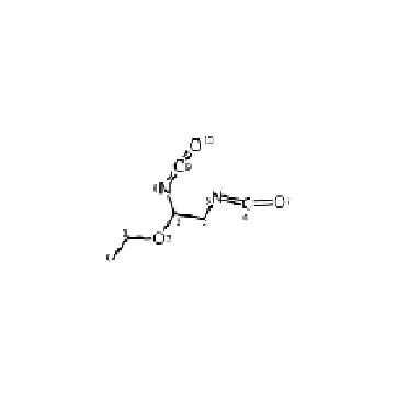 CCOC(CN=C=O)N=C=O